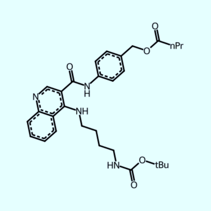 CCCC(=O)OCc1ccc(NC(=O)c2cnc3ccccc3c2NCCCCNC(=O)OC(C)(C)C)cc1